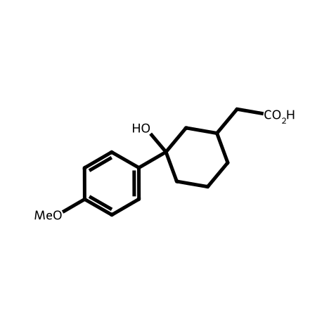 COc1ccc(C2(O)CCCC(CC(=O)O)C2)cc1